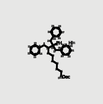 CCCCCCCCCCCCCCCCC(Cc1ccccc1)C(P)(Cc1ccccc1)Cc1ccccc1.I